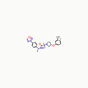 C[C@H](NC(=O)C(C)(C)N1CCC(Oc2cccc(C(F)(F)F)c2)C1)c1ccc(-c2ncon2)cc1